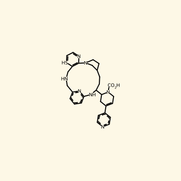 O=C(O)N1CC=C(c2ccncc2)CC1C1CCC2CCN(C2)C2=C(CNCc3cccc(n3)N1)[SH]=CC=N2